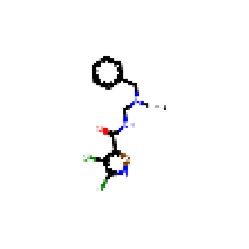 O=CN(CNC(=O)c1snc(Cl)c1Cl)Cc1ccccc1